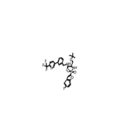 CC(C)(C)OCC(NS(=O)(=O)c1cc2cc(F)ccc2o1)C(=O)NCc1cccc(-c2ccc(C(F)(F)F)nc2)c1